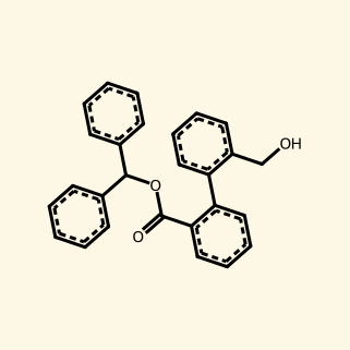 O=C(OC(c1ccccc1)c1ccccc1)c1ccccc1-c1ccccc1CO